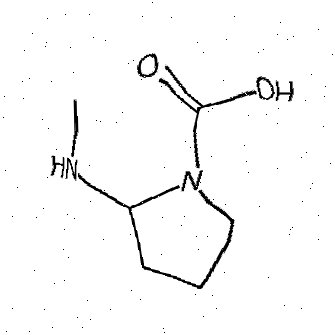 CNC1CCCN1C(=O)O